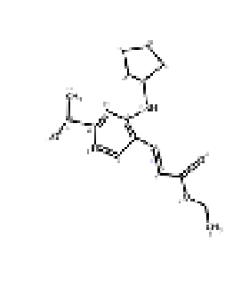 CCOC(=O)/C=C/c1cnc([S+](C)[O-])nc1NC1CCCC1